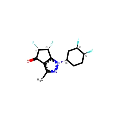 Cc1nn([C@H]2CC[C@H](F)[C@H](F)C2)c2c1C(=O)[C@H](F)[C@@H]2F